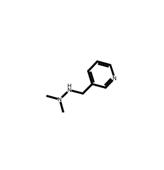 CN(C)NCc1cccnc1